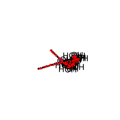 CCCCCCCCCCCCC/C=C/[C@@H](O)[C@H](CO[C@@H]1OC(CO)[C@@H](O[C@@H]2OC(CO)[C@H](O)[C@H](O[C@@H]3OC(CO)[C@@H](O[C@@H]4OC(CO)[C@H](O)[C@H](O[C@H]5OC(CO)[C@H](O)[C@H](O)C5O)C4O[C@H]4OC(C)[C@@H](O)C(O)[C@@H]4O)[C@H](O)C3NC(C)=O)C2O)[C@H](O)C1O)NC(=O)CCCCCCCCCCCCCCCCCCCCCCC